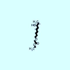 CCOC(=O)COCC/C=C/C=C/[C@H](O)CC